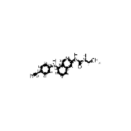 CCNC(=O)Nc1cc2cccc(Nc3ccc(C#N)cc3)c2cn1